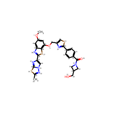 COc1cc(OCc2csc(-c3ccc(C(=O)N4CC(CO)C4)cc3)n2)c2sc(-c3cn4nc(C)sc4n3)nc2c1